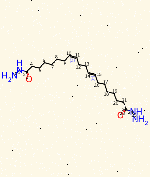 NNC(=O)CCCCCC/C=C\CC/C=C/CCCCCCC(=O)NN